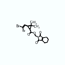 CC1(C)C(C=C(Br)Br)C1C(=O)OCN1C(=O)C2=C(CCCC2)C1=O